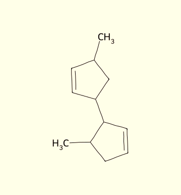 CC1C=CC(C2C=CCC2C)C1